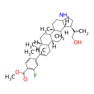 C=C(CO)[C@@H]1CC[C@]2(N)CC[C@]3(C)[C@H](CC[C@@H]4[C@@]5(C)CC=C(c6ccc(C(=O)OC)c(F)c6)C(C)(C)[C@@H]5CC[C@]43C)[C@@H]12